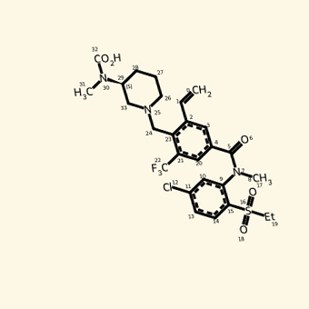 C=Cc1cc(C(=O)N(C)c2cc(Cl)ccc2S(=O)(=O)CC)cc(C(F)(F)F)c1CN1CCC[C@H](N(C)C(=O)O)C1